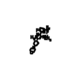 CNC(=C/C[C@H]1CC[C@H](N2CCOCC2)CC1)/C(=N\N)c1nc(C(F)(F)F)ccc1F